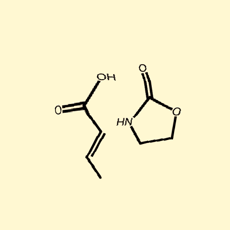 C/C=C/C(=O)O.O=C1NCCO1